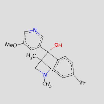 COc1cncc([C@@](O)(c2ccc(C(C)C)cc2)C2(C)CN(C)C2)c1